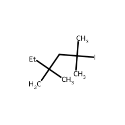 CCC(C)(C)CC(C)(C)I